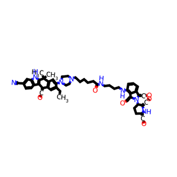 CCc1cc2c(cc1N1CCN(CCCCCC(=O)NCCCCNc3cccc4c(=C=O)n(C5CCC(=C=O)NC5=C=O)c(=C=O)c34)CC1)C(C)(C)c1[nH]c3cc(C#N)ccc3c1C2=C=O